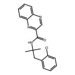 CC(C)(Cc1ccccc1Cl)NC(=O)c1cnc2ccccc2n1